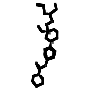 C=CCC(CC)OO[C@]1(CC)CCC[C@@H](c2ccc(OC(=O)N3CCCCC3)cc2)C1